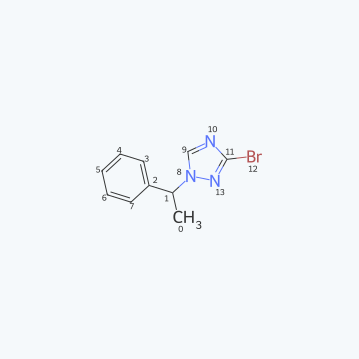 CC(c1ccccc1)n1cnc(Br)n1